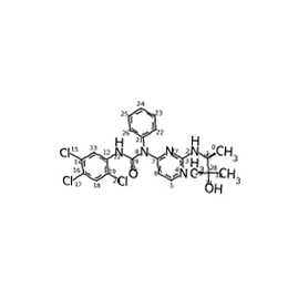 C[C@H](Nc1nccc(N(C(=O)Nc2cc(Cl)c(Cl)cc2Cl)c2ccccc2)n1)C(C)(C)O